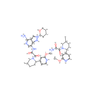 CCOc1cc(C2CCC(C)CN2C(=O)C(=O)Nc2cnc(N)c3cn(C4CCCCO4)nc23)ccn1.CCOc1cc(C2CCC(C)CN2C(=O)C(N)=O)ccn1